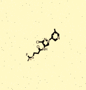 Cc1cncc(-n2cc(NC(=O)CCS[C@@H](C)F)c(Cl)n2)c1